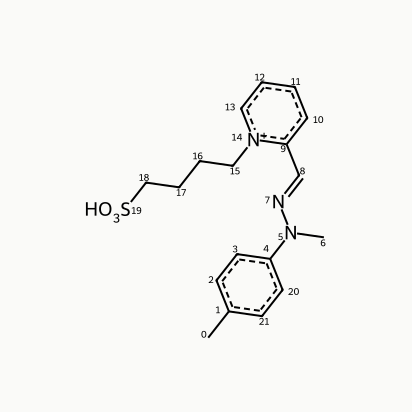 Cc1ccc(N(C)N=Cc2cccc[n+]2CCCCS(=O)(=O)O)cc1